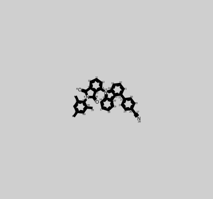 Cc1cc(C)c(N2C(=O)c3cccc(-n4c5ccccc5c5c(-c6ccc(C#N)cc6)cccc54)c3C2=O)c(C)c1